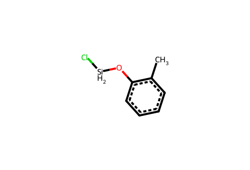 Cc1ccccc1O[SiH2]Cl